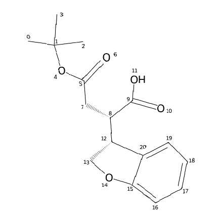 CC(C)(C)OC(=O)C[C@H](C(=O)O)[C@H]1COc2ccccc21